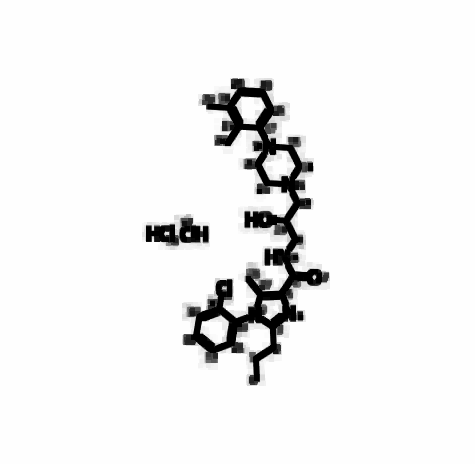 CCCc1nc(C(=O)NCC(O)CN2CCN(c3cccc(C)c3C)CC2)c(C)n1-c1ccccc1Cl.Cl.Cl